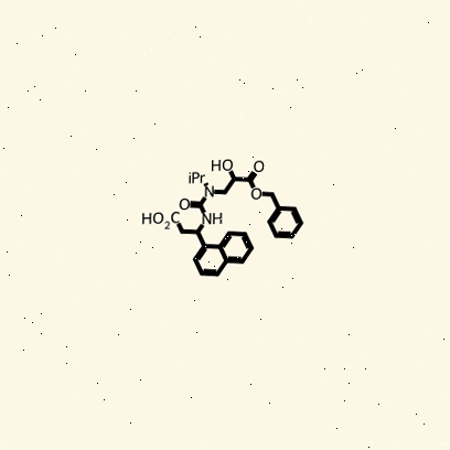 CC(C)N(CC(O)C(=O)OCc1ccccc1)C(=O)NC(CC(=O)O)c1cccc2ccccc12